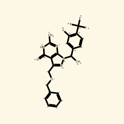 Cc1nc2c(c(COCc3ccccc3)nn2C(C)c2ccc(C(F)(F)F)c(F)c2)c(=O)[nH]1